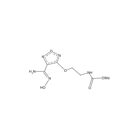 COC(=O)NCCOc1nonc1/C(N)=N/O